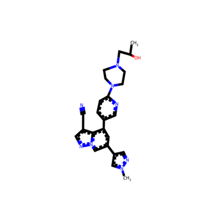 CC(O)CN1CCN(c2ccc(-c3cc(-c4cnn(C)c4)cn4ncc(C#N)c34)cn2)CC1